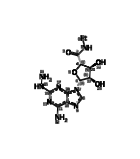 CCNC(=O)[C@H]1O[C@@H](n2cnc3c(N)nc(NN)nc32)[C@H](O)[C@@H]1O